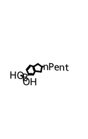 CCCCCC1Cc2ccc(B(O)O)cc2C1